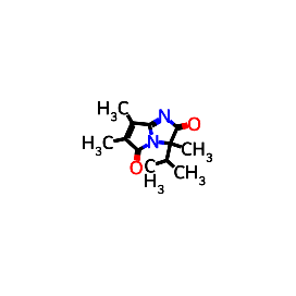 CC1=C(C)C2=NC(=O)C(C)(C(C)C)N2C1=O